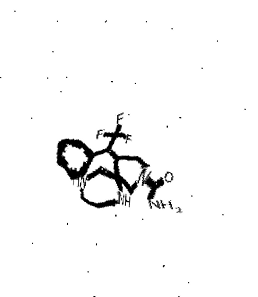 NC(=O)N1CC(C(c2ccccc2)C(F)(F)F)C2(CNCCN2)C1